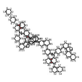 c1ccc(-c2ccc(-c3ccc(N(c4cccc(-c5cccc6oc7c8cc(-c9ccc%10c(-c%11ccc(-c%12ccccc%12)c(N(c%12ccc(-c%13cccc%14ccccc%13%14)cc%12)c%12ccc(-c%13cccc%14oc%15c%16ccccc%16ccc%15c%13%14)cc%12)c%11)cccc%10c9)ccc8ccc7c56)c4)c4cc(-c5cccc6ccccc56)ccc4-c4ccccc4)cc3)cc2)cc1